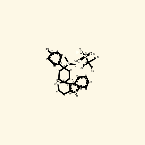 CN(C)C1(c2ccc(F)cc2)CCC2(CC1)OCCc1sc3ccccc3c12.O=S(=O)(O)C(F)(F)F